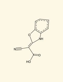 N#CC(C(=O)O)=C1Nc2ccccc2O1